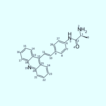 C[C@H](N)C(=O)Nc1ccc(C=Cc2c3ccccc3nc3ccccc23)cc1